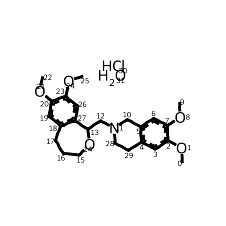 COc1cc2c(cc1OC)CN(CC1OCCCc3cc(OC)c(OC)cc31)CC2.Cl.O